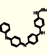 CC(C)(C)Nc1ccc(Nc2ccc(N=C3C=CC(=Nc4ccccc4)C=C3)cc2)cc1